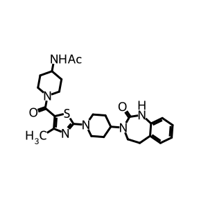 CC(=O)NC1CCN(C(=O)c2sc(N3CCC(N4CCc5ccccc5NC4=O)CC3)nc2C)CC1